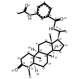 CC(=O)Nc1cccc(C(=O)NC(C)[C@H]2CC[C@H]3[C@@H]4CC[C@H]5N(C)C(=O)CC[C@]5(C)[C@H]4CC[C@]23C)c1